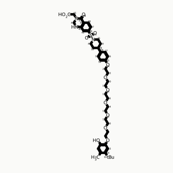 Cc1cc(O)c(OCCOCCOCCOCCOCCOCCOc2ccc(C3CCN(S(=O)(=O)c4ccc5c(c4)NCN(CC(=O)O)C5=O)CC3)cc2)cc1C(C)(C)C